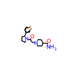 NC(=O)C1CCN(CC(=O)N2CCCC2c2ccsc2)CC1